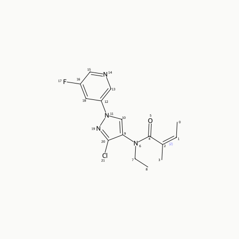 C/C=C(/C)C(=O)N(CC)c1cn(-c2cncc(F)c2)nc1Cl